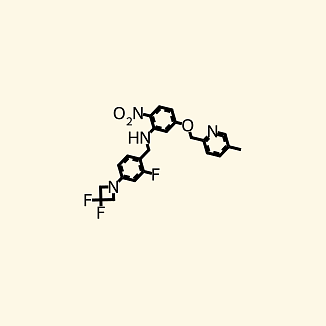 Cc1ccc(COc2ccc([N+](=O)[O-])c(NCc3ccc(N4CC(F)(F)C4)cc3F)c2)nc1